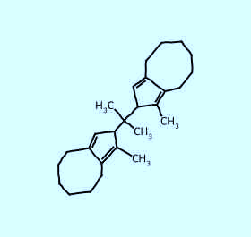 CC1=C2CCCCCCC2=CC1C(C)(C)C1C=C2CCCCCCC2=C1C